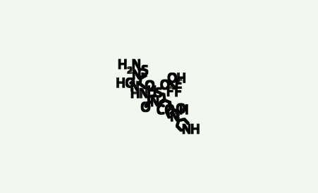 Nc1nc(C(=NO)C(=O)N[C@@H]2C(=O)N3C(C(=O)O)=C(C=C4CCN(C5CCNCC5)C4=O)CS[C@H]23)cs1.O=C(O)C(F)(F)F